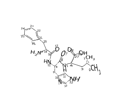 CC(C)CC(NC(=O)C(Cc1c[nH]cn1)NC(=O)C(N)Cc1ccccc1)C(=O)O